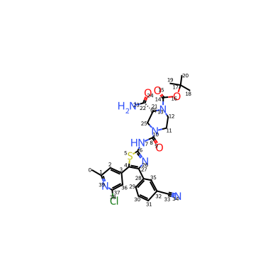 Cc1cc(-c2sc(NC(=O)N3CCN(C(=O)OC(C)(C)C)[C@@H](C(N)=O)C3)nc2-c2cccc(C#N)c2)cc(Cl)n1